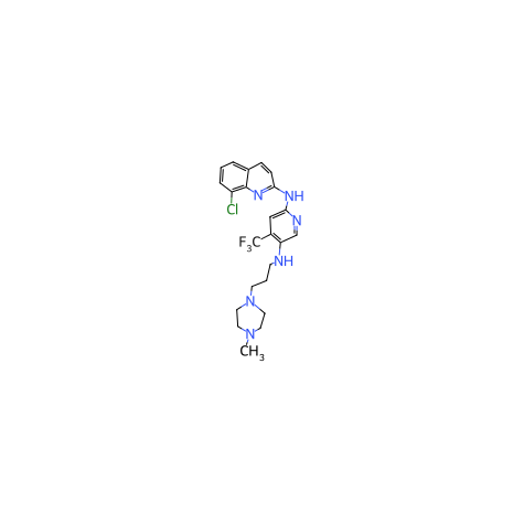 CN1CCN(CCCNc2cnc(Nc3ccc4cccc(Cl)c4n3)cc2C(F)(F)F)CC1